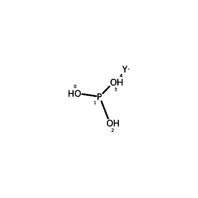 OP(O)O.[Y]